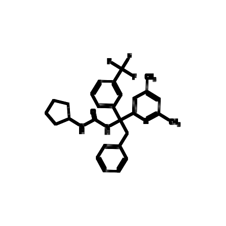 Cc1cc(C)nc(C(Cc2ccccc2)(NC(=O)NC2CCCC2)c2cccc(C(F)(F)F)c2)c1